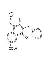 O=C(O)c1ccc2c(c1)c(=O)n(Cc1ccccc1)c(=O)n2CC1CC1